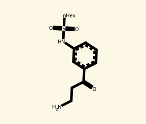 CCCCCCS(=O)(=O)Nc1cccc(C(=O)CCN)c1